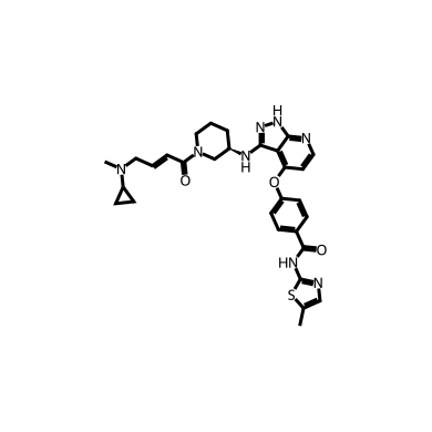 Cc1cnc(NC(=O)c2ccc(Oc3ccnc4[nH]nc(N[C@@H]5CCCN(C(=O)C=CCN(C)C6CC6)C5)c34)cc2)s1